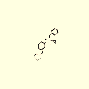 O=S(=O)(c1cccc(CN2CCNCC2)c1)N(Cc1ccccc1)C1CC1